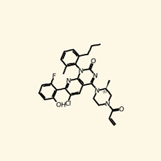 C=CC(=O)N1CCN(c2nc(=O)n(-c3c(C)cccc3CCC)c3nc(-c4c(O)cccc4F)c(Cl)cc23)[C@@H](C)C1